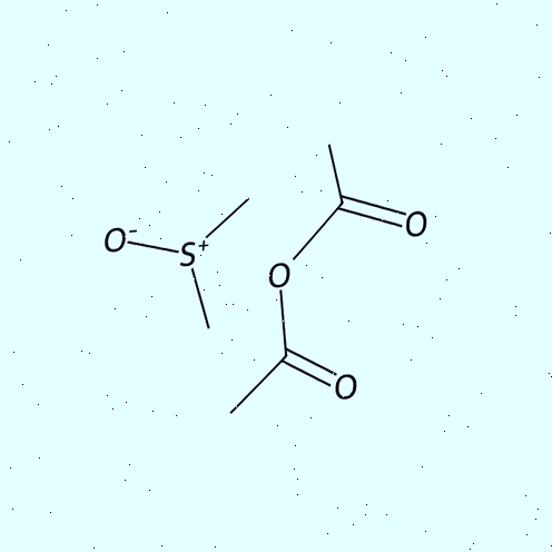 CC(=O)OC(C)=O.C[S+](C)[O-]